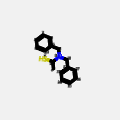 CC(S)N(Cc1ccccc1)Cc1ccccc1